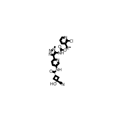 C[C@@H](OC(=O)Nc1c(-c2ccc(NC(=O)[C@H]3C[C@](O)(C#N)C3)cn2)nnn1C)c1cccnc1Cl